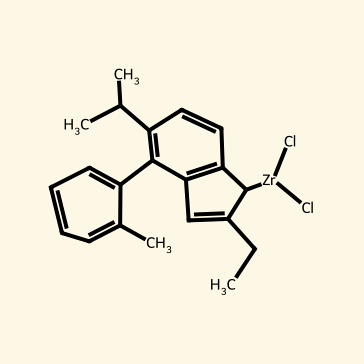 CCC1=Cc2c(ccc(C(C)C)c2-c2ccccc2C)[CH]1[Zr]([Cl])[Cl]